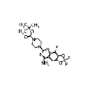 CC(C)(C)OC(=O)N1CCN(c2nc(N)c3cc4c(c(F)c3n2)OC(F)(F)O4)CC1